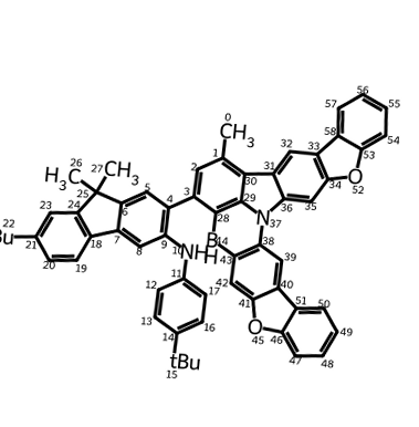 Cc1cc(-c2cc3c(cc2Nc2ccc(C(C)(C)C)cc2)-c2ccc(C(C)(C)C)cc2C3(C)C)c2c3c1c1cc4c(cc1n3-c1cc3c(cc1B2)oc1ccccc13)oc1ccccc14